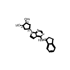 O[C@@H]1C[C@H](n2ccc3c(N[C@H]4CCc5ccccc54)ncnc32)C[C@@H]1O